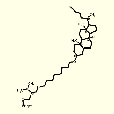 CCCCCCCOC[C@H](COCCCCCCCCO[C@H]1CC[C@@]2(C)C(=CC[C@H]3C4CCC([C@H](C)CCCC(C)C)[C@@]4(C)CCC32)C1)N(C)C